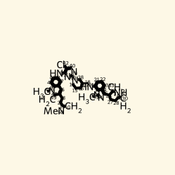 C=C(CCC1=Cc2cc(Nc3nc(N4CCC[C@H](CNc5cccc6c(C7CCC(=C)NC7=C)nn(C)c56)C4)ncc3Cl)ccc2N(C)C1=C)NC